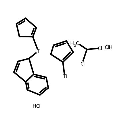 C1=CC[C]([Ti][CH]2C=Cc3ccccc32)=C1.CC(Cl)Cl.Cl.Cl.[Ti][C]1=CC=CC1